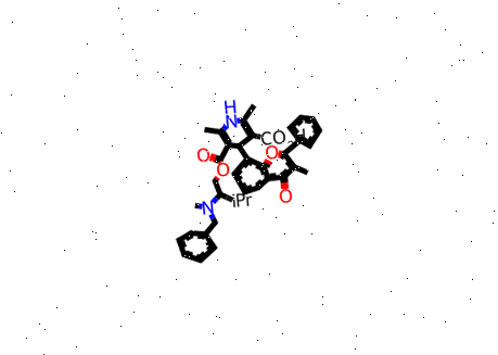 CC1=C(C(=O)O)C(c2cccc3c(=O)c(C)c(-c4ccccc4)oc23)C(C(=O)OCC(C(C)C)N(C)Cc2ccccc2)=C(C)N1